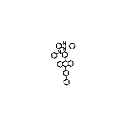 c1ccc(-c2ccc(-c3c4ccccc4c(-c4ccc5c(c4)N(c4ccccc4)c4cccc6nc(-c7ccccc7)n-5c46)c4ccccc34)cc2)cc1